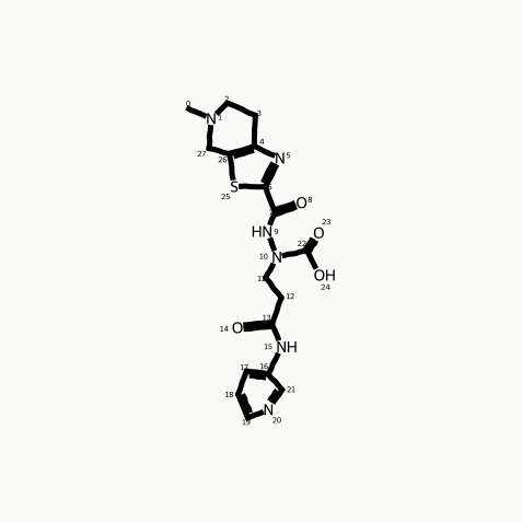 CN1CCc2nc(C(=O)NN(CCC(=O)Nc3cccnc3)C(=O)O)sc2C1